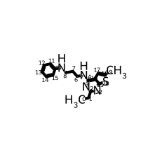 CCc1nc(NCCCNc2ccccc2)c2cc(C)sc2n1